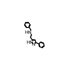 c1ccc(CNCCc2cc(-c3ccccc3)n[nH]2)cc1